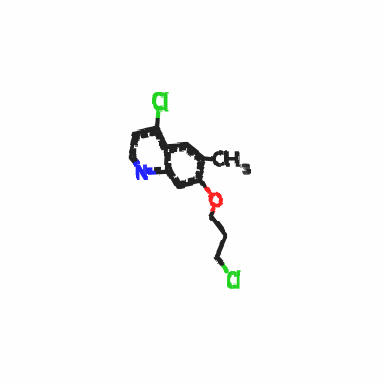 Cc1cc2c(Cl)ccnc2cc1OCCCCl